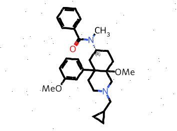 COc1cccc(C23CCN(CC4CC4)CC2(OC)CC[C@@H](N(C)C(=O)c2ccccc2)C3)c1